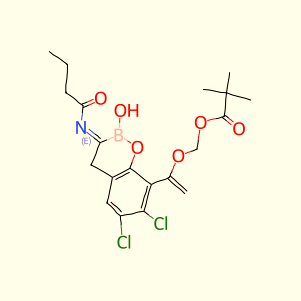 C=C(OCOC(=O)C(C)(C)C)c1c(Cl)c(Cl)cc2c1OB(O)/C(=N\C(=O)CCC)C2